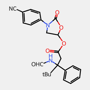 CC(C)(C)C(CC(=O)OC1CN(c2ccc(C#N)cc2)C(=O)O1)(NC=O)c1ccccc1